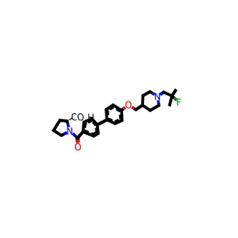 CC(C)(F)CN1CCC(COc2ccc(-c3ccc(C(=O)N4CCC[C@@H]4C(=O)O)cc3)cc2)CC1